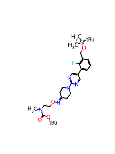 CN(CCON=C1CCN(c2ncc(-c3cccc(CO[Si](C)(C)C(C)(C)C)c3F)cn2)CC1)C(=O)OC(C)(C)C